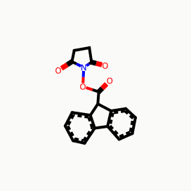 O=C(ON1C(=O)CCC1=O)C1c2ccccc2-c2ccccc21